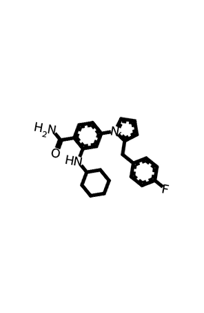 NC(=O)c1ccc(-n2cccc2Cc2ccc(F)cc2)cc1NC1CCCCC1